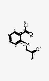 CC(=O)C[Se]c1ccccc1C(=O)Cl